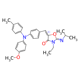 CCN1C(=O)/C(=C\c2ccc(N(c3ccc(C)cc3)c3ccc(OC)cc3)cc2)OC1=NC(C)C